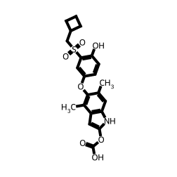 Cc1cc2[nH]c(OC(=O)O)cc2c(C)c1Oc1ccc(O)c(S(=O)(=O)CC2CCC2)c1